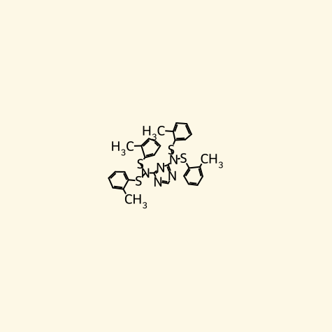 Cc1ccccc1SN(Sc1ccccc1C)c1ncnc(N(Sc2ccccc2C)Sc2ccccc2C)n1